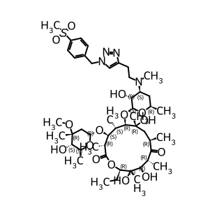 CC[C@H]1OC(=O)[C@H](C)[C@@H](O[C@H]2C[C@@](C)(OC)[C@@H](O)[C@H](C)O2)[C@H](C)[C@@H](O[C@@H]2O[C@H](C)C[C@H](N(C)CCc3cn(Cc4ccc(S(C)(=O)=O)cc4)nn3)[C@H]2O)[C@](C)(O)C[C@@H](C)C(=O)[C@H](C)[C@@H](O)[C@]1(C)O